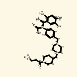 CC(C)c1cc(C(=N)N(C(N)=O)c2ccc(CN3CCN(CC4CCN(C(=O)CCN)CC4)CC3)cc2)c(O)cc1O